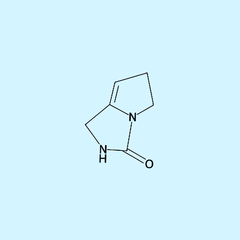 O=C1NCC2=CCCN12